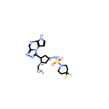 CC[C@@H]1C[C@H](NS(=O)(=O)N2CCC(F)(F)CC2)CC1c1nnc2cnc3[nH]ccc3n12